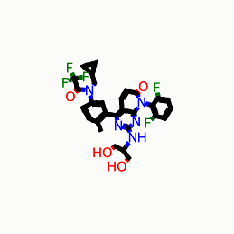 Cc1ccc(N(CC2CC2)C(=O)C(F)(F)F)cc1-c1nc(NC(CO)CO)nc2c1ccc(=O)n2-c1c(F)cccc1F